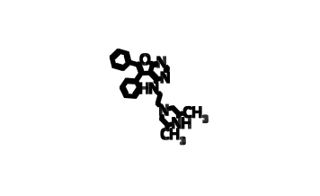 CC1CN(CCNc2ncnc3oc(-c4ccccc4)c(-c4ccccc4)c23)CC(C)N1